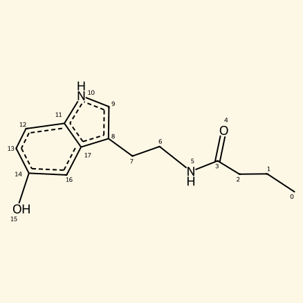 CCCC(=O)NCCc1c[nH]c2ccc(O)cc12